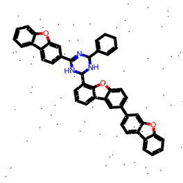 C1=CC(C2N=C(c3ccc4c(c3)oc3ccccc34)NC(c3cccc4c3oc3ccc(-c5ccc6c(c5)oc5ccccc56)cc34)N2)=CCC1